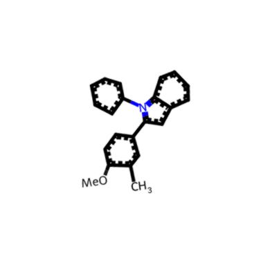 COc1ccc(-c2cc3ccccc3n2-c2ccccc2)cc1C